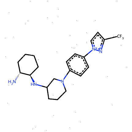 N[C@@H]1CCCC[C@H]1NC1CCCN(c2ccc(-n3ccc(C(F)(F)F)n3)cc2)C1